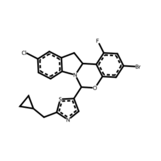 Fc1cc(Br)cc2c1C1Cc3cc(Cl)ccc3N1C(c1cnc(CC3CC3)s1)O2